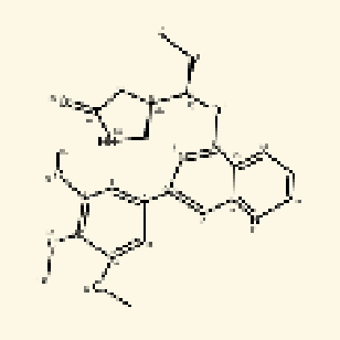 CC[C@@H](Oc1nc(-c2cc(OC)c(OC)c(OC)c2)cc2ncccc12)[C@H]1CNC(=O)C1